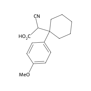 COc1ccc(C2(C(C#N)C(=O)O)CCCCC2)cc1